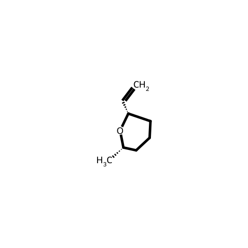 C=C[C@@H]1CCC[C@H](C)O1